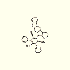 Cc1c(-c2ccccc2)c(C#N)c(-n2c3ccccc3c3cc4c(cc32)oc2ccccc24)c(C#N)c1-c1ccccc1